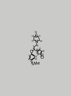 CSc1ccc(OC(CCN2CCN(C)CC2)c2ccc(Cl)s2)cc1